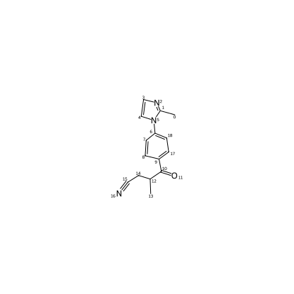 Cc1nccn1-c1ccc(C(=O)C(C)CC#N)cc1